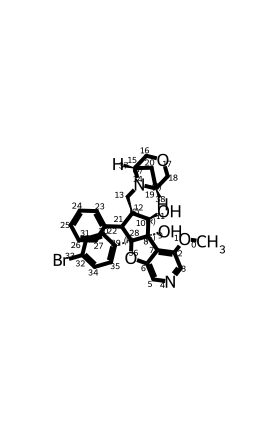 COc1cncc2c1[C@]1(O)[C@H](O)[C@H](CN3[C@@H]4COC[C@H]3C4)C(c3ccccc3)[C@]1(c1ccc(Br)cc1)O2